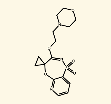 O=S1(=O)N=C(OCCN2CCOCC2)C2(CC2)Oc2ncccc21